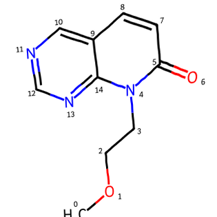 COCCn1c(=O)ccc2cncnc21